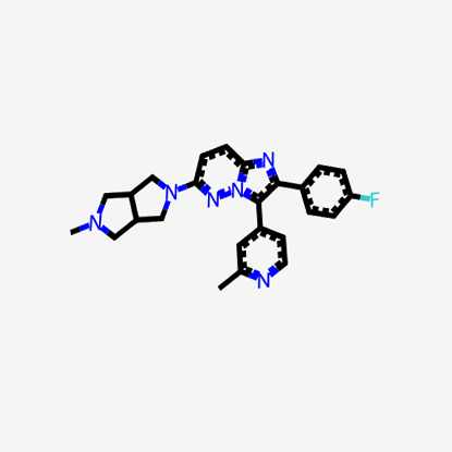 Cc1cc(-c2c(-c3ccc(F)cc3)nc3ccc(N4CC5CN(C)CC5C4)nn23)ccn1